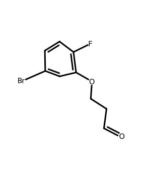 O=CCCOc1cc(Br)ccc1F